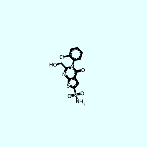 NS(=O)(=O)c1cc2c(=O)n(-c3ccccc3Cl)c(CO)nc2s1